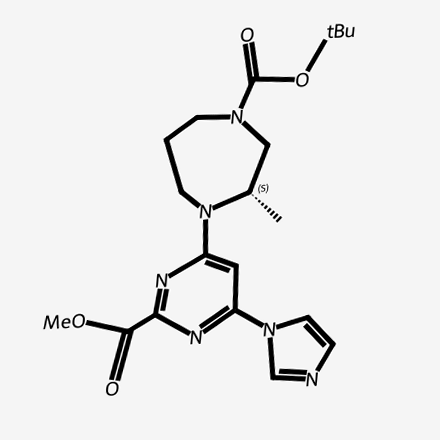 COC(=O)c1nc(N2CCCN(C(=O)OC(C)(C)C)C[C@@H]2C)cc(-n2ccnc2)n1